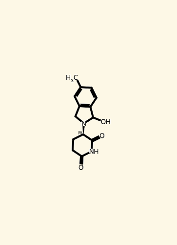 Cc1ccc2c(c1)CN([C@@H]1CCC(=O)NC1=O)C2O